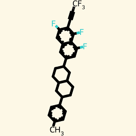 Cc1ccc(C2CCC3CC(c4cc(F)c5c(F)c(C#CC(F)(F)F)c(F)cc5c4)CCC3C2)cc1